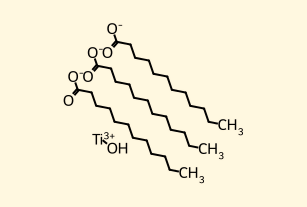 CCCCCCCCCCCC(=O)[O-].CCCCCCCCCCCC(=O)[O-].CCCCCCCCCCCC(=O)[O-].[OH][Ti+3]